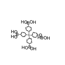 OBOc1ccc(C(c2ccc(B(O)O)cc2)(c2ccc(B(O)O)cc2)c2ccc(B(O)O)cc2)cc1